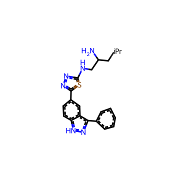 CC(C)CC(N)CNc1nnc(-c2ccc3[nH]nc(-c4ccccc4)c3c2)s1